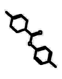 CC1=CCC(C(=O)Oc2ccc(C)cc2)CC1